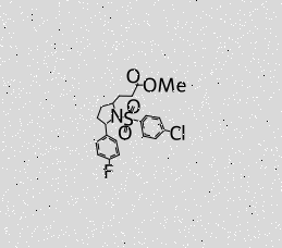 COC(=O)CCC1CCC(c2ccc(F)cc2)N1S(=O)(=O)c1ccc(Cl)cc1